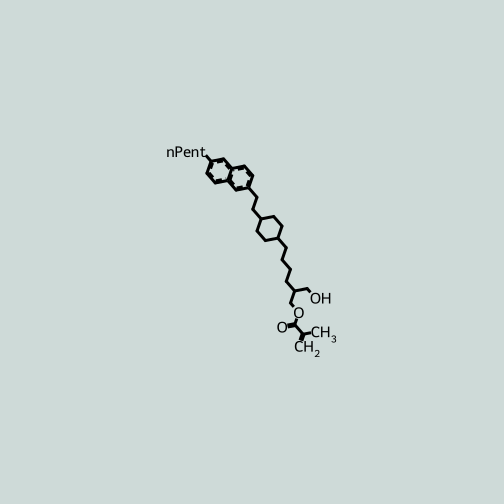 C=C(C)C(=O)OCC(CO)CCCCC1CCC(CCc2ccc3cc(CCCCC)ccc3c2)CC1